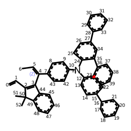 C=CC1=C(/C(=C\C)c2ccc(N(c3ccc(-c4ccccc4)cc3)c3ccc(-c4ccccc4)cc3-c3ccccc3)cc2)c2ccccc2C1(C)C